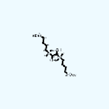 CCCCCCCCCCCCCC[N+](C)(C)C(O)C(O)[N+](C)(C)CCCCCCCCCCCCCC